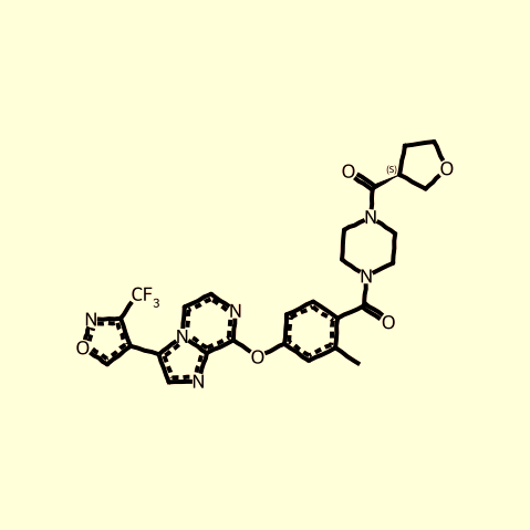 Cc1cc(Oc2nccn3c(-c4conc4C(F)(F)F)cnc23)ccc1C(=O)N1CCN(C(=O)[C@H]2CCOC2)CC1